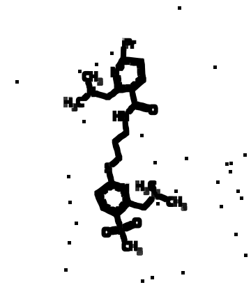 CC(C)c1ccc(C(=O)NCCCSc2ccc(S(C)(=O)=O)c(CN(C)C)n2)c(CN(C)C)n1